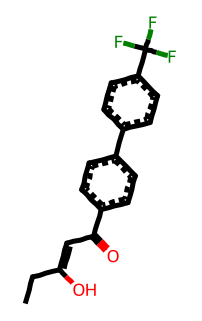 CCC(O)=CC(=O)c1ccc(-c2ccc(C(F)(F)F)cc2)cc1